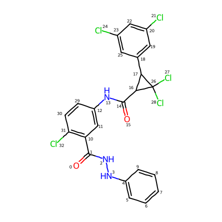 O=C(NNc1ccccc1)c1cc(NC(=O)C2C(c3cc(Cl)cc(Cl)c3)C2(Cl)Cl)ccc1Cl